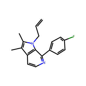 C=CCn1c(C)c(C)c2ccnc(-c3ccc(F)cc3)c21